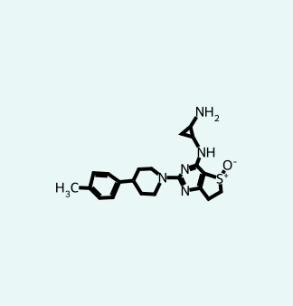 Cc1ccc(C2CCN(c3nc4c(c(NC5CC5N)n3)[S+]([O-])CC4)CC2)cc1